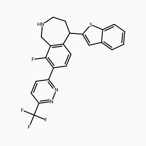 Fc1c(-c2ccc(C(F)(F)F)nn2)ccc2c1CNCCC2c1cc2ccccc2s1